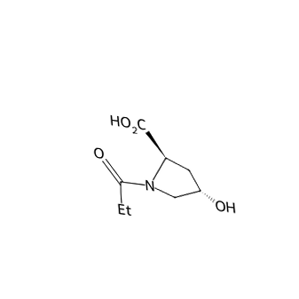 CCC(=O)N1C[C@@H](O)C[C@@H]1C(=O)O